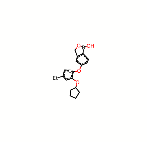 CCc1ccc(Oc2ccc3c(c2)COB3O)c(OC2CCCC2)c1